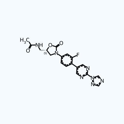 CC(=O)NC[C@H]1CN(c2ccc(-c3cnc(-n4cncn4)nc3)c(F)c2)C(=O)O1